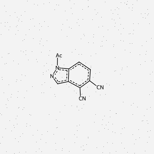 CC(=O)n1ncc2c(C#N)c(C#N)ccc21